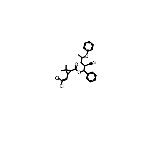 CC(CC(C#N)C(OC(=O)C1C(C=C(Cl)Cl)C1(C)C)c1ccccc1)Oc1ccccc1